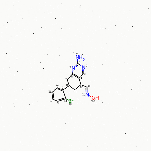 Nc1ncc2c(n1)CC(c1ccccc1Br)CC2C=NO